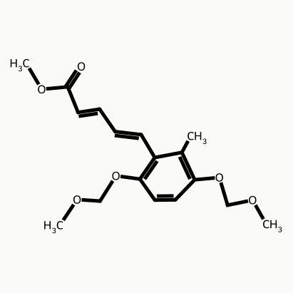 COCOc1ccc(OCOC)c(C=CC=CC(=O)OC)c1C